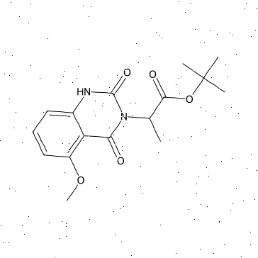 COc1cccc2[nH]c(=O)n(C(C)C(=O)OC(C)(C)C)c(=O)c12